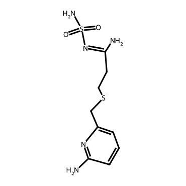 NC(CCSCc1cccc(N)n1)=NS(N)(=O)=O